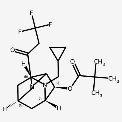 CC(C)(C)C(=O)O[C@@H]1C2[C@H]3C[C@H](C[C@@H]1N3CC1CC1)CN2C(=O)CC(F)(F)F